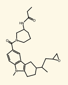 CCC(=O)NC1CCCN(C(=O)c2ccc3c(c2)c2c(n3C)CCC(C(C)CC3CO3)C2)C1